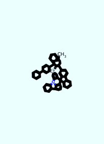 CCC1=C(/c2ccc3c(c2)C2(c4ccccc4-3)c3ccccc3-n3c4ccccc4c4cccc2c43)CC\C(C)=c2/cccc/c2=C/1c1ccc(-c2ccccc2)cc1